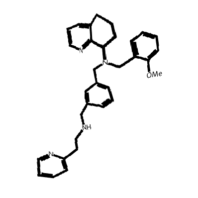 COc1ccccc1CN(Cc1cccc(CNCCc2ccccn2)c1)C1CCCc2cccnc21